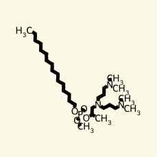 CCCCCCCCCCCCCCCCOP(=O)(OC)OC(C)CN(CCCN(C)C)CCCN(C)C